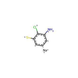 Nc1cccc([S-])c1Cl.[Na+]